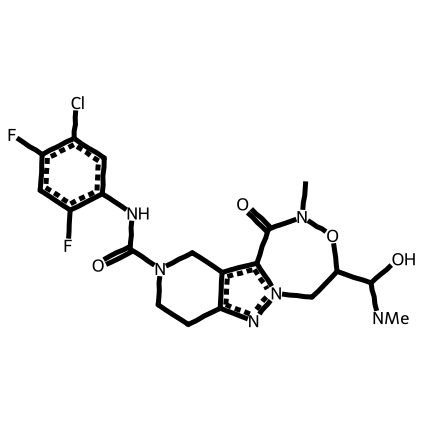 CNC(O)C1Cn2nc3c(c2C(=O)N(C)O1)CN(C(=O)Nc1cc(Cl)c(F)cc1F)CC3